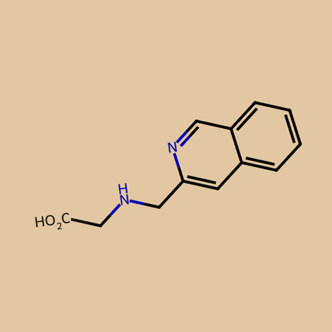 O=C(O)CNCc1cc2ccccc2cn1